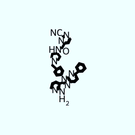 N#Cc1nccc(C(=O)NC2CCN(Cc3ccc(-n4c(-c5cccnc5N)nc5ccc(-c6ccccc6)nc54)cc3)CC2)n1